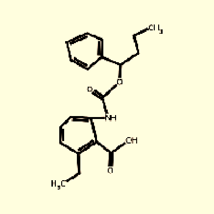 CCCC(OC(=O)Nc1cccc(CC)c1C(=O)O)c1ccccc1